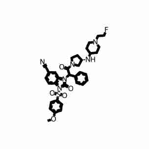 COc1ccc(S(=O)(=O)n2c(=O)n(C(C(=O)N3CC[C@H](NC4CCN(CCF)CC4)C3)c3ccccc3)c3cc(C#N)ccc32)cc1